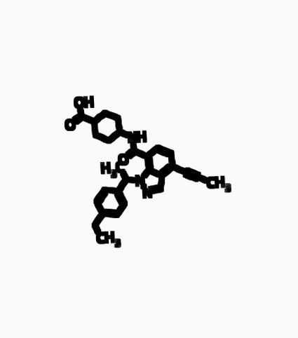 CC#Cc1ccc(C(=O)NC2CCC(C(=O)O)CC2)c2c1cnn2C(C)c1ccc(CC)cc1